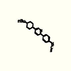 CCCCC1CCC(c2ccc(-c3ccc(N=C=S)cc3)nc2)CC1